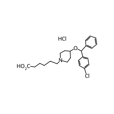 Cl.O=C(O)CCCCCN1CCC(OC(c2ccccc2)c2ccc(Cl)cc2)CC1